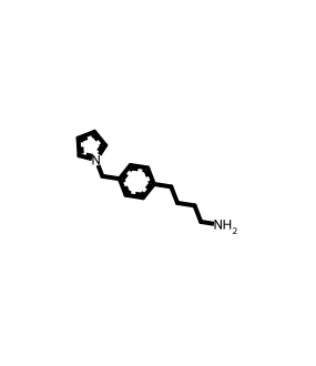 NCCCCc1ccc(Cn2cccc2)cc1